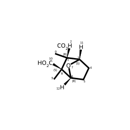 C[C@]1(C(=O)O)[C@@H]2CC[C@@H](O2)[C@@]1(C)C(=O)O